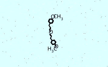 COc1ccc(CC=COC=CCc2ccc(OC)cc2)cc1